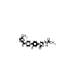 CC(=O)NC[C@H]1CN(c2ccc(N3CCN(C(=S)c4nnc(C)s4)CC3)c(F)c2)C(=O)O1